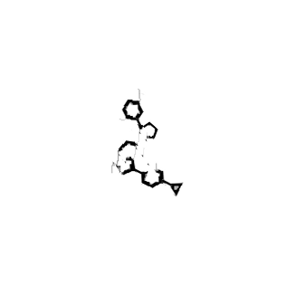 C[C@]1(c2cc(F)ccc2F)CCCN1c1ccn2ncc(-c3ccc(C4CC4)cn3)c2n1